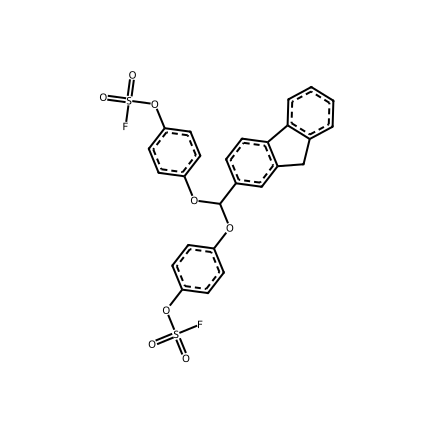 O=S(=O)(F)Oc1ccc(OC(Oc2ccc(OS(=O)(=O)F)cc2)c2ccc3c(c2)Cc2ccccc2-3)cc1